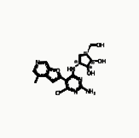 Cc1cncc2oc(-c3c(Cl)nc(N)nc3N[C@@H]3C[C@H](CO)[C@@H](O)[C@H]3O)cc12